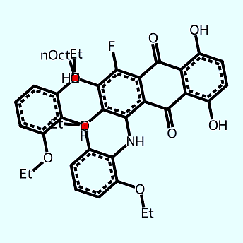 CCCCCCCCNc1c(F)c2c(c(Nc3c(OCC)cccc3OCC)c1Nc1c(OCC)cccc1OCC)C(=O)c1c(O)ccc(O)c1C2=O